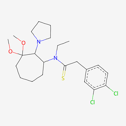 CCN(C(=S)Cc1ccc(Cl)c(Cl)c1)C1CCCCC(OC)(OC)C1N1CCCC1